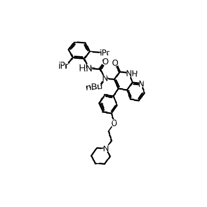 CCCCN(C(=O)Nc1c(C(C)C)cccc1C(C)C)c1c(-c2cccc(OCCN3CCCCC3)c2)c2cccnc2[nH]c1=O